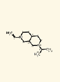 C=CN1CCC2CCN(C(C)C)CC2C1